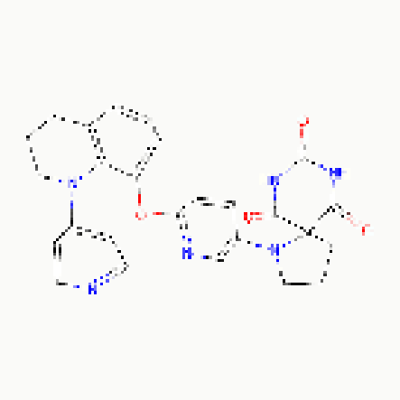 O=C1NC(=O)C2(CCCN2c2ccc(Oc3cccc4c3N(c3ccncc3)CCC4)nc2)C(=O)N1